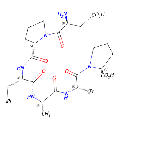 CC(C)C[C@H](NC(=O)[C@@H]1CCCN1C(=O)[C@@H](N)CC(=O)O)C(=O)N[C@@H](C)C(=O)N[C@H](C(=O)N1CCC[C@H]1C(=O)O)C(C)C